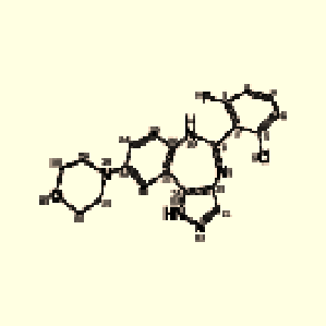 Fc1cccc(Cl)c1C1=Nc2cn[nH]c2-c2cc(N3CCOCC3)ccc2N1